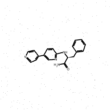 NC(=O)[C@H](Cc1ccccc1)Nc1ccc(-c2ccncc2)cn1